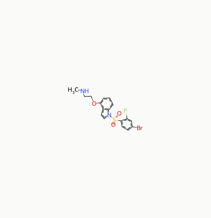 CNCCOc1cccc2c1ccn2S(=O)(=O)c1ccc(Br)cc1F